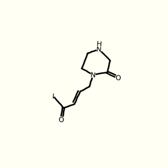 O=C(I)/C=C/CN1CCNCC1=O